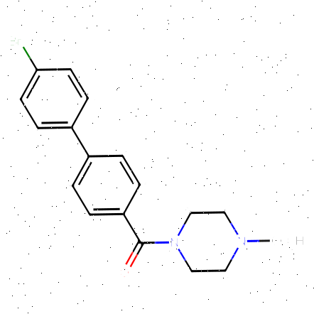 O=C(O)N1CCN(C(=O)c2ccc(-c3ccc(Br)cc3)cc2)CC1